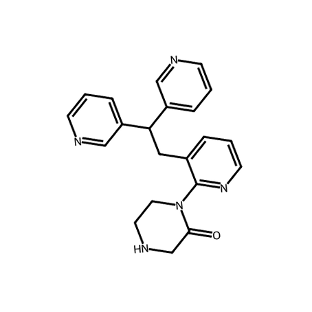 O=C1CNCCN1c1ncccc1CC(c1cccnc1)c1cccnc1